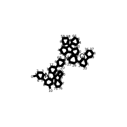 Cc1ccc2c(c1)c1cc(C)cc3c1n2-c1ccc(-c2ccc(N(c4ccc(-c5cccc6c5oc5ccccc56)cc4)c4cccc5c4-c4ccccc4C5(c4ccccc4)c4ccccc4)cc2)cc1C31c2ccccc2-c2ccccc21